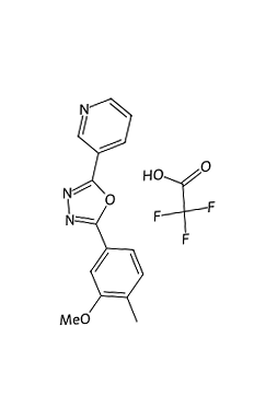 COc1cc(-c2nnc(-c3cccnc3)o2)ccc1C.O=C(O)C(F)(F)F